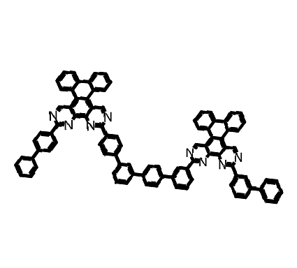 c1ccc(-c2ccc(-c3ncc4c(n3)c3nc(-c5ccc(-c6cccc(-c7ccc(-c8cccc(-c9ncc%10c(n9)c9nc(-c%11cccc(-c%12ccccc%12)c%11)ncc9c9c%11ccccc%11c%11ccccc%11c%109)c8)cc7)c6)cc5)ncc3c3c5ccccc5c5ccccc5c43)cc2)cc1